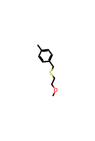 COCCSCc1ccc(C)cc1